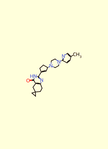 Cc1ccc(N2CCN([C@H]3C=C(c4nc5c(c(=O)[nH]4)CC4(CC5)CC4)CC3)CC2)nc1